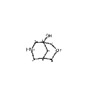 OC12CNCC(COC1)C2